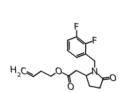 C=CCCOC(=O)CC1CCC(=O)N1Cc1cccc(F)c1F